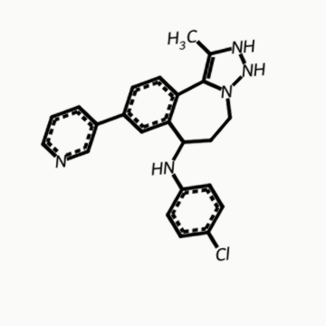 CC1=C2c3ccc(-c4cccnc4)cc3C(Nc3ccc(Cl)cc3)CCN2NN1